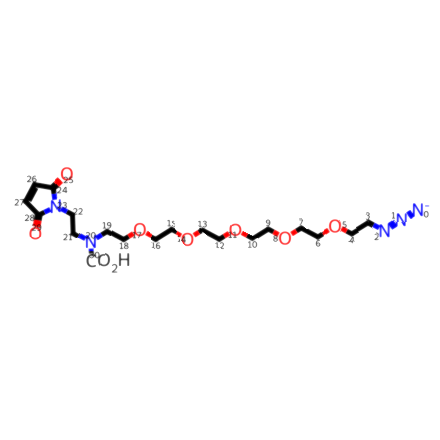 [N-]=[N+]=NCCOCCOCCOCCOCCOCCN(CCN1C(=O)C=CC1=O)C(=O)O